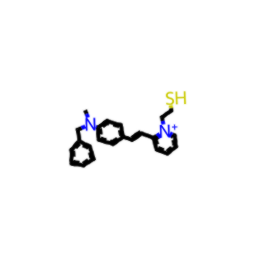 CN(Cc1ccccc1)c1ccc(/C=C/c2cccc[n+]2CCS)cc1